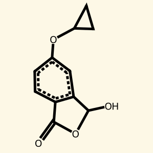 O=C1OC(O)c2cc(OC3CC3)ccc21